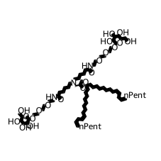 CCCCC/C=C\C/C=C\CCCCCCCCC1(CCCCCCCC/C=C\C/C=C\CCCCC)OC[C@H](CN(CCCCCC(=O)NCCOCCOCCO[C@H]2OC(CO)[C@@H](O)C(O)[C@H]2O)CCCCCC(=O)NCCOCCOCCO[C@H]2OC(CO)[C@@H](O)C(O)[C@H]2O)O1